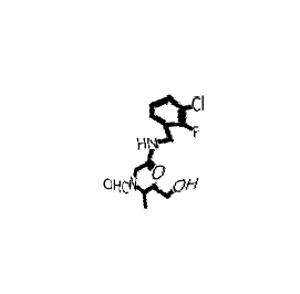 CC(CCO)N(C=O)CC(=O)NCc1cccc(Cl)c1F